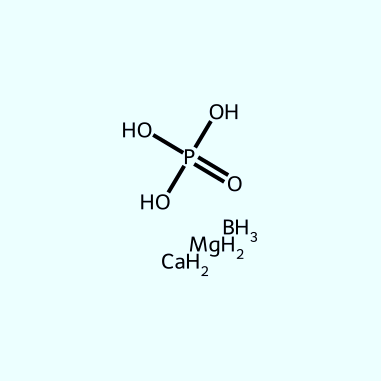 B.O=P(O)(O)O.[CaH2].[MgH2]